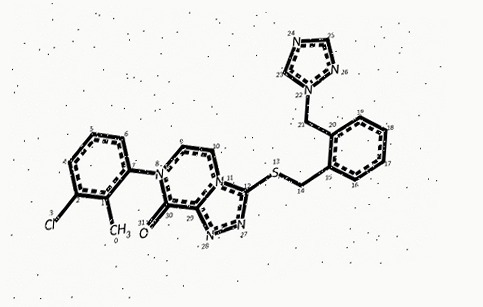 Cc1c(Cl)cccc1-n1ccn2c(SCc3ccccc3Cn3cncn3)nnc2c1=O